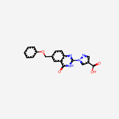 O=C(O)c1cnn(-c2nc3ccc(COc4ccccc4)cc3c(=O)[nH]2)c1